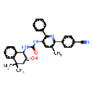 Cc1cc(NC(=O)NC2c3ccccc3C(C)(C)C[C@H]2O)c(-c2ccccc2)nc1-c1ccc(C#N)cc1